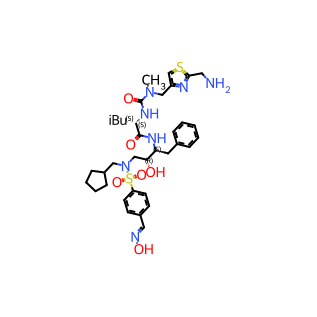 CC[C@H](C)[C@H](NC(=O)N(C)Cc1csc(CN)n1)C(=O)N[C@@H](Cc1ccccc1)[C@H](O)CN(CC1CCCC1)S(=O)(=O)c1ccc(C=NO)cc1